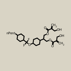 C=C(CO)C(=O)OCC(COC(=O)C(=C)CO)C1CCC(OC(F)(F)C2CCC(CCCCC)CC2)CC1